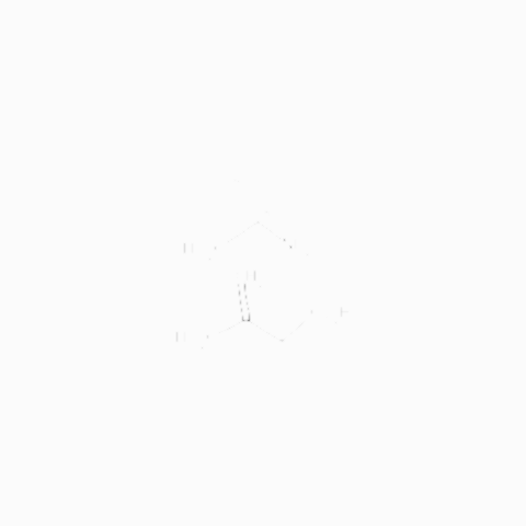 C=C(CC(=O)O)C(=O)O.CC(C)[C@H](N)C(=O)O